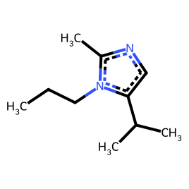 CCCn1c(C(C)C)cnc1C